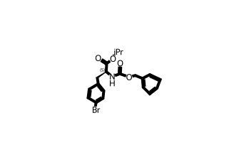 CC(C)OC(=O)[C@H](Cc1ccc(Br)cc1)NC(=O)OCc1ccccc1